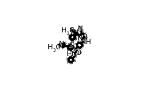 Cn1cc(-c2ccc(N(C(=O)NCc3ccccc3)C3CCC(Nc4ncc(C#N)c(-c5nn(C)c6ccccc56)n4)CC3)nc2)cn1